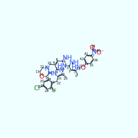 C/C(=C/C(=N)NC(=N)/C=C(/CN1CCOCC1)c1nc(C)c(Cc2ccc(Cl)cc2F)[nH]1)NOc1ccc([N+](=O)[O-])cc1